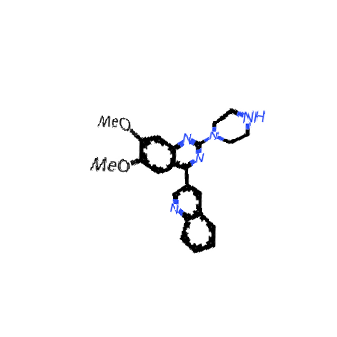 COc1cc2nc(N3CCNCC3)nc(-c3cnc4ccccc4c3)c2cc1OC